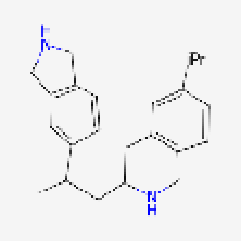 CC(C)c1ccc2c(c1)CC(CC(C)c1ccc3c(c1)CNC3)NC2